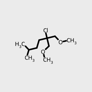 COCC(Cl)(CCC(C)C)COC